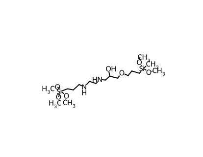 CO[Si](C)(CCCOCC(O)CNCCNCCC[Si](OC)(OC)OC)OC